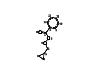 O=C(OOCC1CC1)c1ccccc1